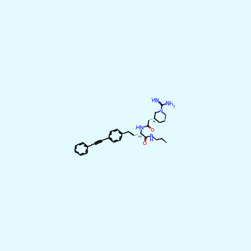 CCCNC(=O)[C@H](CCc1ccc(C#Cc2ccccc2)cc1)NC(=O)C[C@H]1CCCN(C(=N)N)C1